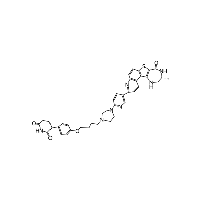 C[C@@H]1CNc2c(sc3ccc4nc(-c5ccc(N6CCN(CCCCOc7ccc(C8CCC(=O)NC8=O)cc7)CC6)nc5)ccc4c23)C(=O)N1